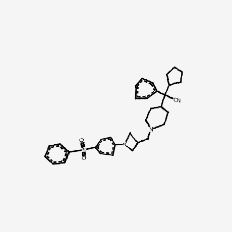 N#CC(c1ccccc1)(C1CCCC1)C1CCN(CC2CN(c3ccc(S(=O)(=O)c4ccccc4)cc3)C2)CC1